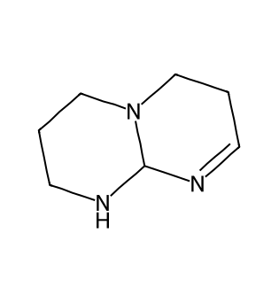 C1=NC2NCCCN2CC1